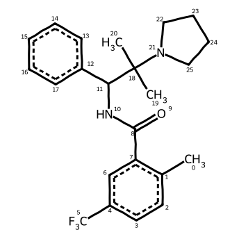 Cc1ccc(C(F)(F)F)cc1C(=O)NC(c1ccccc1)C(C)(C)N1CCCC1